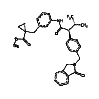 C[C@H]([C@H](C(=O)Nc1cccc(CC2(C(=O)OC(C)(C)C)CC2)c1)c1ccc(CN2Cc3ccccc3C2=O)cc1)C(F)(F)F